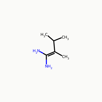 CC(=C(N)N)C(C)C